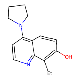 CCc1c(O)ccc2c(N3CCCC3)ccnc12